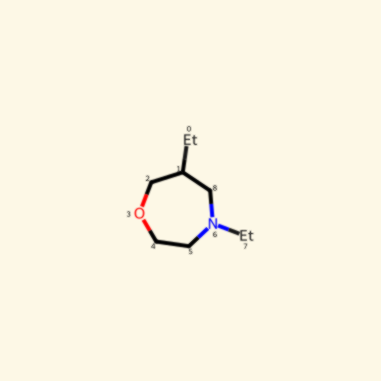 CCC1COCCN(CC)C1